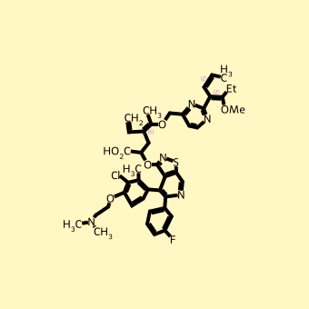 C=C/C(CC(Oc1nsc2cnc(-c3cccc(F)c3)c(-c3ccc(OCCN(C)C)c(Cl)c3C)c12)C(=O)O)=C(\C)OCc1ccnc(C(/C=C\C)=C(/CC)OC)n1